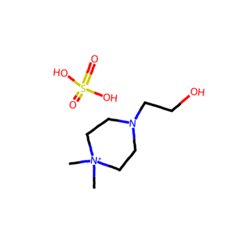 C[N+]1(C)CCN(CCO)CC1.O=S(=O)(O)O